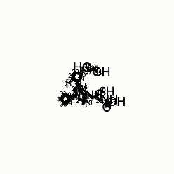 CC(C)(C)[C@@H](NCC(CS)CNC(=O)O)c1nc(-c2cc(F)ccc2F)cn1Cc1ccccc1.OCCO